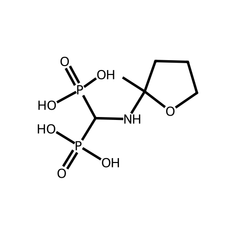 CC1(NC(P(=O)(O)O)P(=O)(O)O)CCCO1